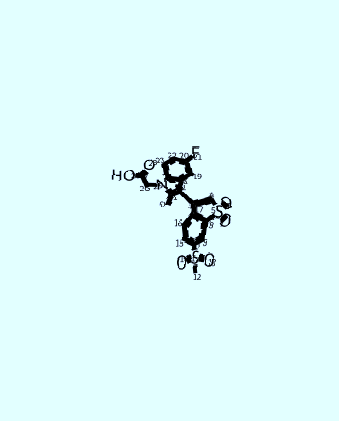 Cc1c(C2=CS(=O)(=O)c3cc(S(C)(=O)=O)ccc32)c2cc(F)ccc2n1CC(=O)O